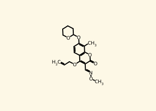 C=CCOc1c(/C=N/OC)c(=O)oc2c(C)c(OC3CCCCO3)ccc12